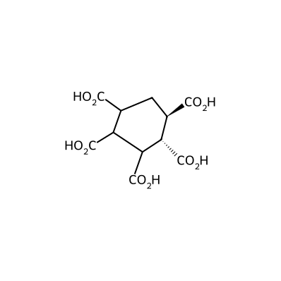 O=C(O)C1C[C@@H](C(=O)O)[C@H](C(=O)O)C(C(=O)O)C1C(=O)O